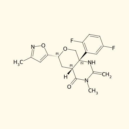 C=C1N[C@@]2(c3cc(F)ccc3F)CO[C@@H](c3cc(C)no3)C[C@H]2C(=O)N1C